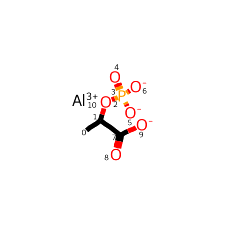 CC(OP(=O)([O-])[O-])C(=O)[O-].[Al+3]